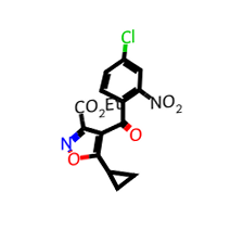 CCOC(=O)c1noc(C2CC2)c1C(=O)c1ccc(Cl)cc1[N+](=O)[O-]